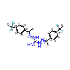 C/C(=N\NC(=N)N/N=C(\C)c1ccc(C(C)(F)F)cc1)c1ccc(C(C)(F)F)cc1